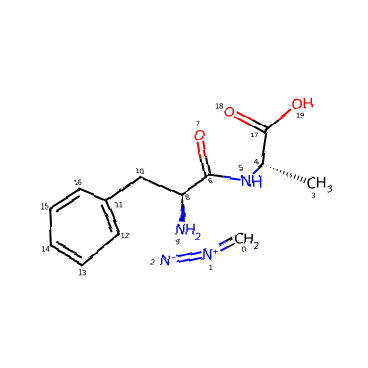 C=[N+]=[N-].C[C@H](NC(=O)[C@@H](N)Cc1ccccc1)C(=O)O